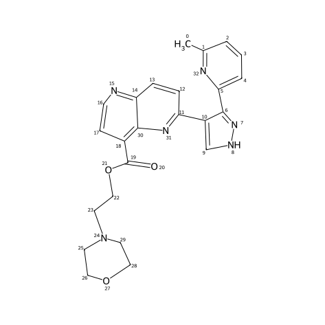 Cc1cccc(-c2n[nH]cc2-c2ccc3nccc(C(=O)OCCN4CCOCC4)c3n2)n1